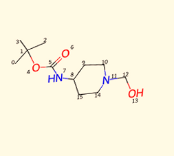 CC(C)(C)OC(=O)NC1CCN(CO)CC1